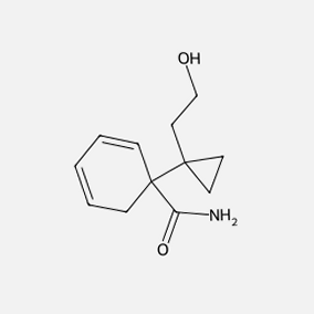 NC(=O)C1(C2(CCO)CC2)C=CC=CC1